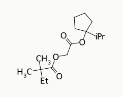 CCC(C)(C)C(=O)OCC(=O)OC1(C(C)C)CCCC1